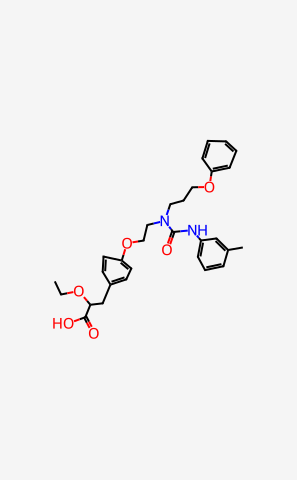 CCOC(Cc1ccc(OCCN(CCCOc2ccccc2)C(=O)Nc2cccc(C)c2)cc1)C(=O)O